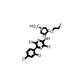 CCc1nc(-c2ccc(Cl)cc2Cl)c(CC)nc1N[C@@H]1CN(C(=O)O)C[C@@H]1OCCF